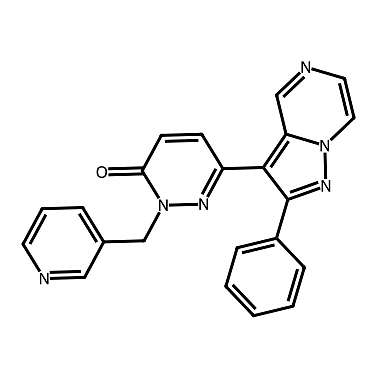 O=c1ccc(-c2c(-c3ccccc3)nn3ccncc23)nn1Cc1cccnc1